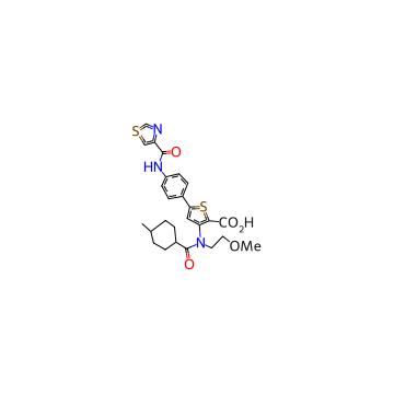 COCCN(C(=O)C1CCC(C)CC1)c1cc(-c2ccc(NC(=O)c3cscn3)cc2)sc1C(=O)O